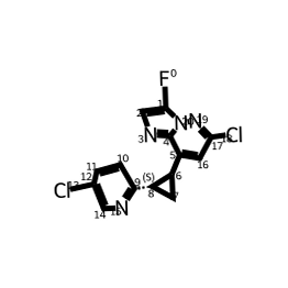 Fc1cnc2c(C3C[C@@H]3c3ccc(Cl)cn3)cc(Cl)nn12